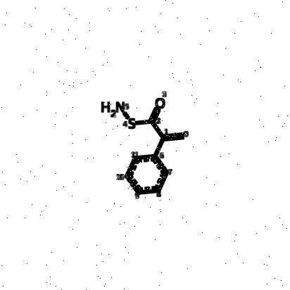 C=C(C(=O)SN)c1ccccc1